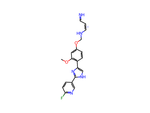 COc1cc(OCN/C=C\C=N)ccc1-c1c[nH]c(-c2ccc(F)nc2)n1